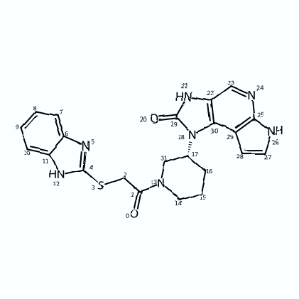 O=C(CSc1nc2ccccc2[nH]1)N1CCC[C@@H](n2c(=O)[nH]c3cnc4[nH]ccc4c32)C1